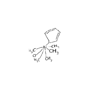 [CH3][Ru]([CH3])([CH3])([CH3])([CH3])([Cl])[CH]1C=CC=C1